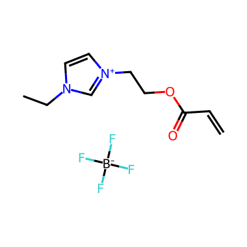 C=CC(=O)OCC[n+]1ccn(CC)c1.F[B-](F)(F)F